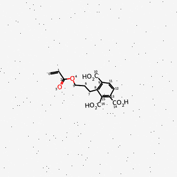 C=CC(=O)OCCCc1c(C(=O)O)ccc(C(=O)O)c1C(=O)O